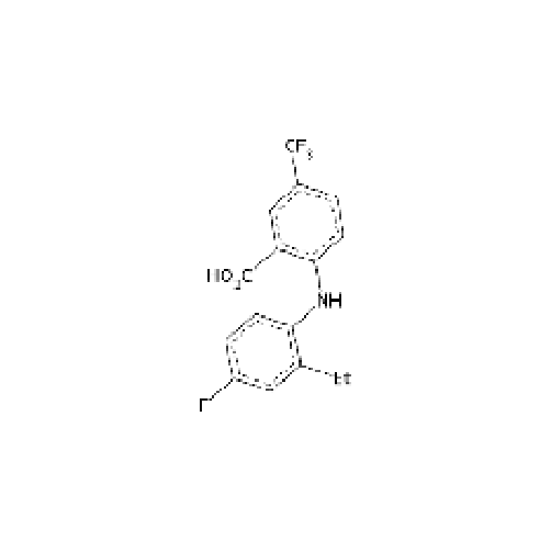 CCc1cc(F)ccc1Nc1ccc(C(F)(F)F)cc1C(=O)O